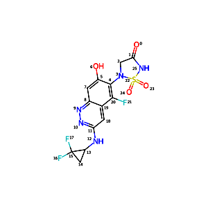 O=C1CN(c2c(O)cc3nnc(NC4CC4(F)F)cc3c2F)S(=O)(=O)N1